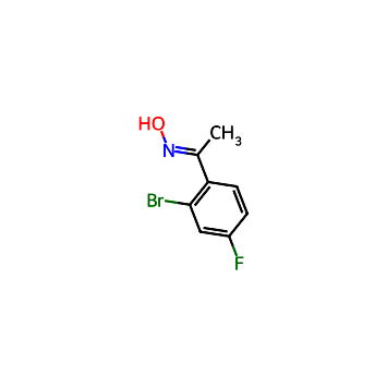 CC(=NO)c1ccc(F)cc1Br